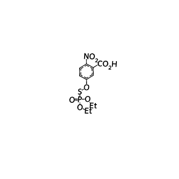 CCOP(=O)(OCC)SOc1ccc([N+](=O)[O-])c(C(=O)O)c1